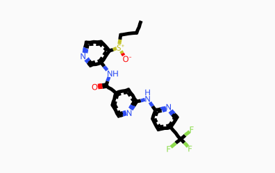 CCC[S+]([O-])c1ccncc1NC(=O)c1ccnc(Nc2ccc(C(F)(F)F)cn2)c1